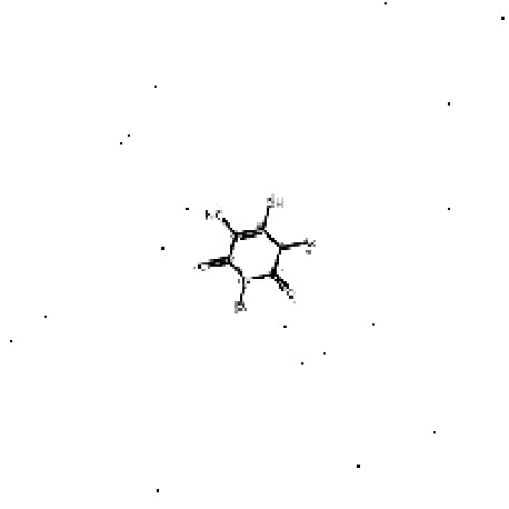 CCN1C(=O)C(C#N)=C(O)C(C(C)=O)C1=O